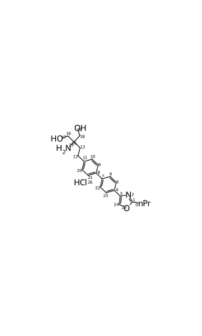 CCCc1nc(-c2ccc(-c3ccc(CCC(N)(CO)CO)cc3)cc2)co1.Cl